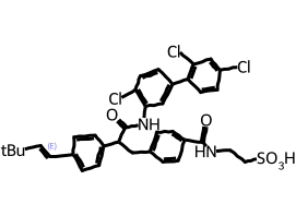 CC(C)(C)/C=C/c1ccc(C(Cc2ccc(C(=O)NCCS(=O)(=O)O)cc2)C(=O)Nc2cc(-c3ccc(Cl)cc3Cl)ccc2Cl)cc1